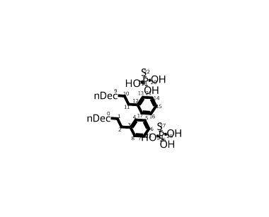 CCCCCCCCCCCCc1ccccc1.CCCCCCCCCCCCc1ccccc1.OP(O)(O)=S.OP(O)(O)=S